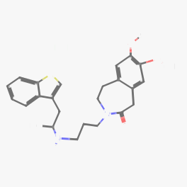 COc1cc2c(cc1OC)CC(=O)N(CCCN(C)C(C)Cc1csc3ccccc13)CC2.Cl